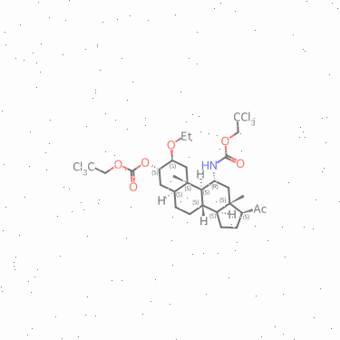 CCO[C@H]1C[C@@]2(C)[C@@H](CC[C@@H]3[C@@H]2[C@H](NC(=O)OCC(Cl)(Cl)Cl)C[C@]2(C)[C@@H](C(C)=O)CC[C@@H]32)C[C@@H]1OC(=O)OCC(Cl)(Cl)Cl